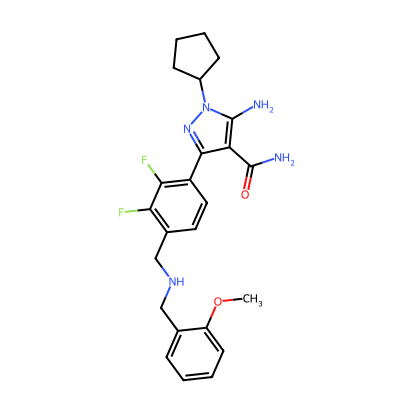 COc1ccccc1CNCc1ccc(-c2nn(C3CCCC3)c(N)c2C(N)=O)c(F)c1F